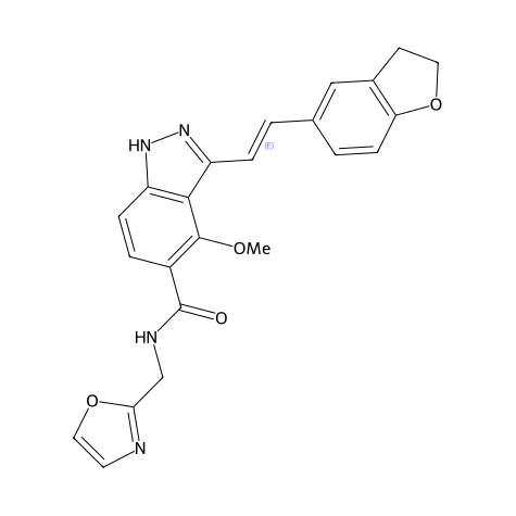 COc1c(C(=O)NCc2ncco2)ccc2[nH]nc(/C=C/c3ccc4c(c3)CCO4)c12